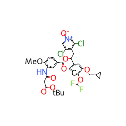 COc1ccc(C(=O)OC(Cc2c(Cl)c[n+]([O-])cc2Cl)c2ccc(OC(F)F)c(OCC3CC3)c2)cc1NC(=O)CC(=O)OC(C)(C)C